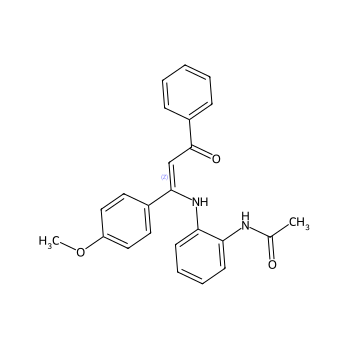 COc1ccc(/C(=C/C(=O)c2ccccc2)Nc2ccccc2NC(C)=O)cc1